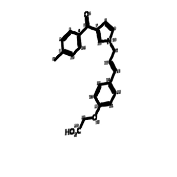 Cc1ccc(C(=O)c2ccn(C/C=C/c3ccc(OCC(=O)O)cc3)c2)cc1